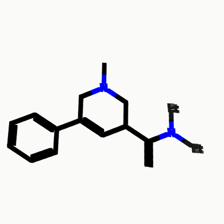 C=C(C1C=C(c2ccccc2)CN(C)C1)N(CC)CC